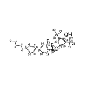 CCCCCc1ccc(-c2ccc(C(F)(F)Oc3cc(C(C)(C)C)c(O)c(C(C)(C)C)c3)c(F)c2)cc1